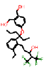 CCCC(CC)(Oc1ccc(CO)c(CO)c1)c1cccc(CC)c1CCC(O)C(C(F)(F)F)C(F)(F)F